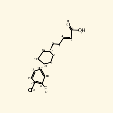 O=C(O)/C=C/CC[C@H]1CC[C@H](c2ccc(Cl)c(F)c2)CC1